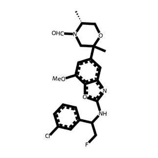 COc1cc(C2(C)CN(C=O)[C@H](C)CO2)cc2nc(NC(CF)c3cccc(Cl)c3)oc12